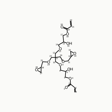 C=CC(=O)OCC(O)COCC(COCC(O)COC(=O)C=C)(COCC1CO1)COCC1CO1